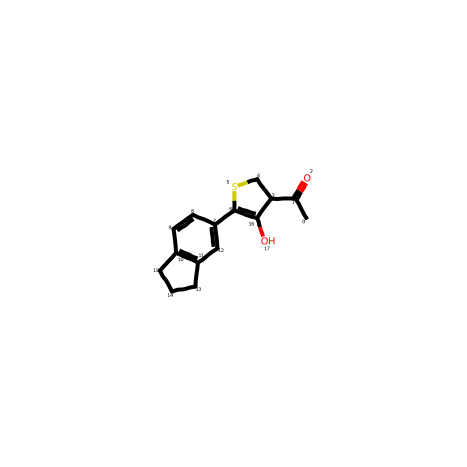 CC(=O)C1CSC(c2ccc3c(c2)CCC3)=C1O